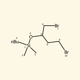 CCCC[Si](C)(C)OC(CBr)CCBr